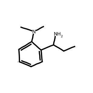 CCC(N)c1cc[c]cc1N(C)C